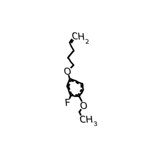 C=CCCCOc1ccc(OCC)c(F)c1